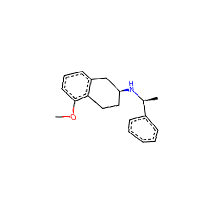 COc1cccc2c1CC[C@H](N[C@@H](C)c1ccccc1)C2